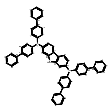 c1ccc(-c2ccc(N(c3ccc(-c4ccccc4)cc3)c3ccc4c(c3)sc3cc(N(c5ccc(-c6ccccc6)cc5)c5ccc(-c6ccccc6)cc5)ccc34)cc2)cc1